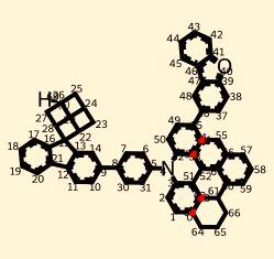 c1ccc(N(c2ccc(-c3ccc4c(c3)C3(c5ccccc5-4)C4CC5C[C@H]6CC3C546)cc2)c2ccc(-c3ccc4oc5ccccc5c4c3)cc2)c(-c2cccc3cccc(C4CCCCC4)c23)c1